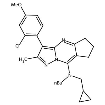 CCCCN(CC1CC1)c1c2c(nc3c(-c4ccc(OC)cc4Cl)c(C)nn13)CCC2